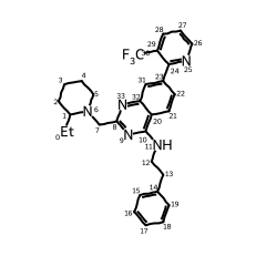 CCC1CCCCN1Cc1nc(NCCc2ccccc2)c2ccc(-c3ncccc3C(F)(F)F)cc2n1